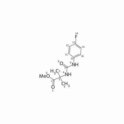 COC(=O)C(C)(C)NC(=O)Nc1ccc(F)cc1